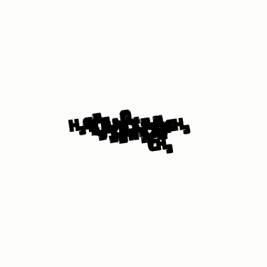 Cc1cc(-c2cc(=O)n3cc(N4CCN(C)CC4)ccc3n2)cc2cn(C)nc12